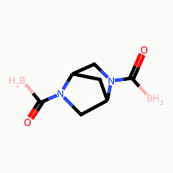 BC(=O)N1CC2CC1CN2C(B)=O